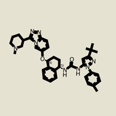 Cc1ccc(-n2nc(C(C)(C)C)cc2NC(=O)N[C@H]2CC[C@@H](Oc3ccc4nnc(C5CCCN(C)C5)n4c3)c3ccccc32)cc1